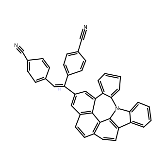 N#Cc1ccc(/C=C(\c2ccc(C#N)cc2)c2cc3ccc4ccc5c6ccccc6n6c7ccccc7c(c2)c3c4c56)cc1